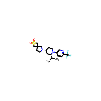 CC(C)[C@H]1C[C@H](N2CCC3(C2)CS(=O)(=O)C3)CCN1c1ccc(C(F)(F)F)nc1